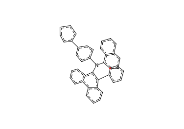 c1ccc(-c2ccc(N(c3cccc4ccccc34)c3c(-c4ccccc4)c4ccccc4c4ccccc34)cc2)cc1